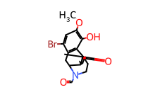 COc1cc(Br)c2c(c1O)C13CCN(C=O)C(C2)C1CCC(=O)C3